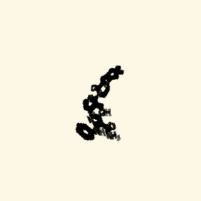 CC1(C)Cc2cc3n(c2C1)CCN(c1nccc(-n2cc(C(N)=O)c(Nc4ccccc4)n2)c1CO)C3=O